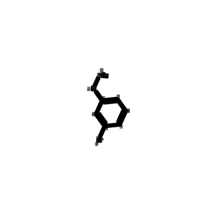 CCCCOc1c[c]cc(Br)c1